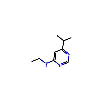 CCNc1cc(C(C)C)ncn1